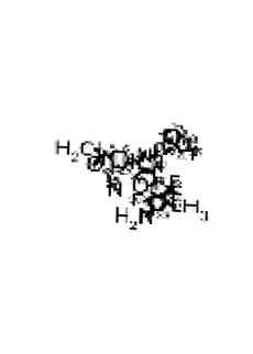 C=CC(=O)N1CCN(c2nc(OC[C@@]34CCCN3C[C@H](F)C4)nc3c2CO[C@@H](c2c(F)c(N)cc(C)c2C(F)(F)F)C3)C[C@@H]1CC#N